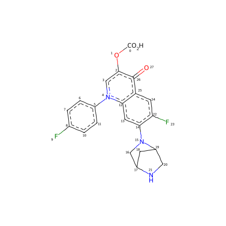 O=C(O)Oc1cn(-c2ccc(F)cc2)c2cc(N3CC4CC3CN4)c(F)cc2c1=O